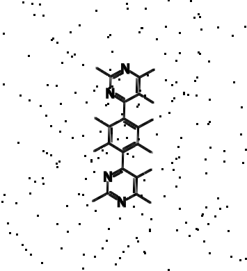 Cc1nc(C)c(C)c(-c2c(C)c(C)c(-c3nc(C)nc(C)c3C)c(C)c2C)n1